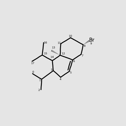 CC(C)C1CC=C2C[C@@H](Br)CC[C@]2(C)C1C(C)C